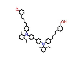 CCc1cccc(C)c1N(c1ccc(/C=C/C=C/c2cccc(CO)c2)cc1)c1ccc(-c2ccc(N(c3ccc(/C=C/C=C/c4cccc(OC)c4)cc3)c3c(C)cccc3CC)cc2)cc1